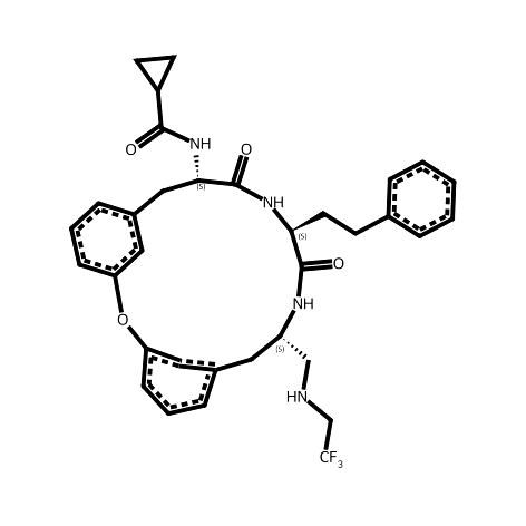 O=C(N[C@H]1Cc2cccc(c2)Oc2cccc(c2)C[C@@H](CNCC(F)(F)F)NC(=O)[C@H](CCc2ccccc2)NC1=O)C1CC1